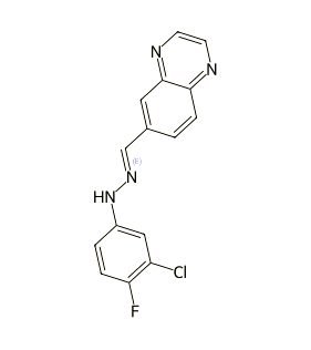 Fc1ccc(N/N=C/c2ccc3nccnc3c2)cc1Cl